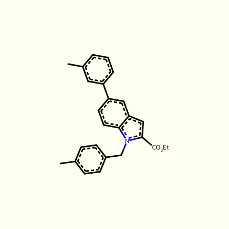 CCOC(=O)c1cc2cc(-c3cccc(C)c3)ccc2n1Cc1ccc(C)cc1